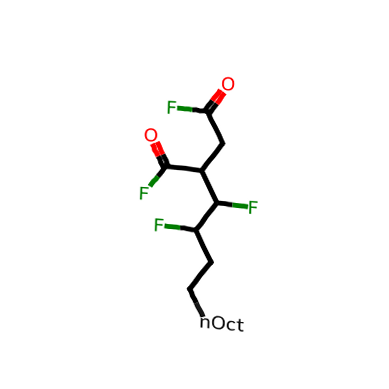 CCCCCCCCCCC(F)C(F)C(CC(=O)F)C(=O)F